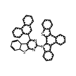 C1=CC2Sc3nc(-n4c5ccccc5c5c6ccccc6c6c7ccccc7sc6c54)nc(-c4cc5ccccc5c5ccccc45)c3C2C=C1